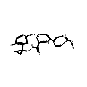 CCOc1ccc(-c2cncc(C(=O)NOC3(c4cc(OC)ccc4F)CC3)n2)cn1